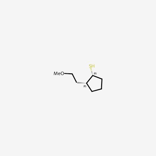 COCC[C@H]1CCC[C@H]1S